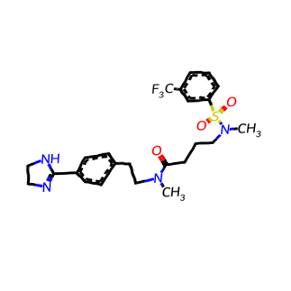 CN(CCc1ccc(C2=NCCN2)cc1)C(=O)CCCN(C)S(=O)(=O)c1cccc(C(F)(F)F)c1